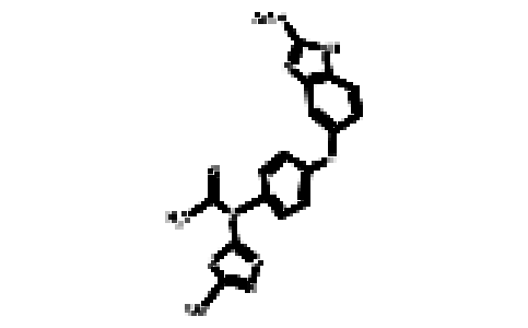 CC(=O)Nc1nc2cc(Oc3ccc(N(C(N)=O)c4nnc(C(C)(C)C)s4)cc3)ccc2[nH]1